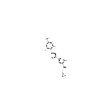 N#Cc1sc(-c2cnn(-c3c(Cl)cc(C(F)(C(F)(F)F)C(F)(F)F)cc3Cl)c2)cc1C(=O)NC1CC1